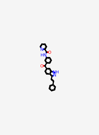 O=C(c1cccc(NC(=O)c2ccccn2)c1)c1ccc2c(/C=C/c3ccccc3)n[nH]c2c1